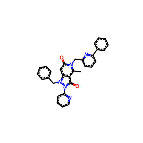 Cc1c2c(=O)n(-c3ccccn3)n(Cc3ccccc3)c2cc(=O)n1Cc1cccc(-c2ccccc2)n1